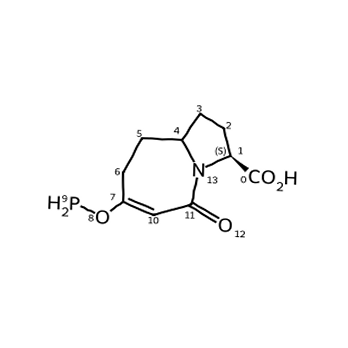 O=C(O)[C@@H]1CCC2CCC(OP)=CC(=O)N21